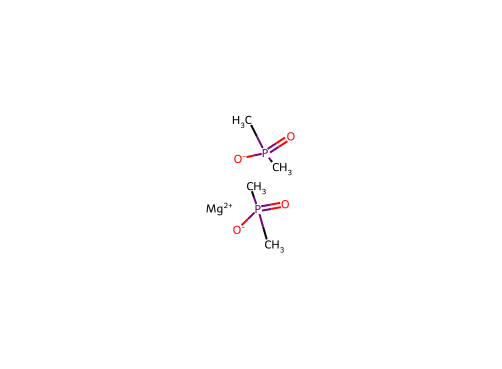 CP(C)(=O)[O-].CP(C)(=O)[O-].[Mg+2]